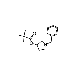 CC(C)(C)C(=O)OC1CCN(Cc2ccccc2)C1